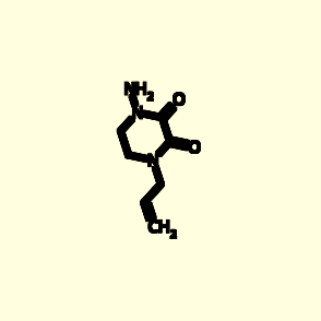 C=CCN1CCN(N)C(=O)C1=O